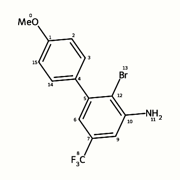 COc1ccc(-c2cc(C(F)(F)F)cc(N)c2Br)cc1